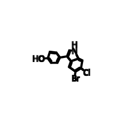 Oc1ccc(-c2c[nH]c3cc(Cl)c(Br)cc23)cc1